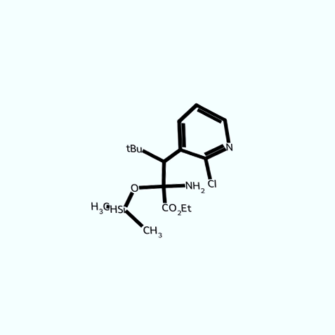 CCOC(=O)C(N)(O[SiH](C)C)C(c1cccnc1Cl)C(C)(C)C